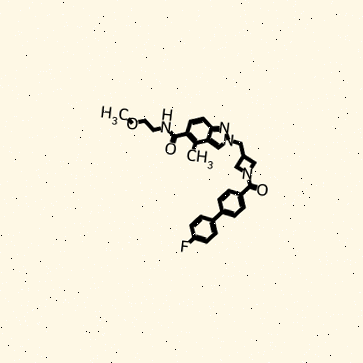 COCCNC(=O)c1ccc2nn(CC3CN(C(=O)c4ccc(-c5ccc(F)cc5)cc4)C3)cc2c1C